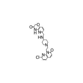 O=C1COc2ccc(CNC3CCN(CCn4c(=O)ccc5ccc(Cl)nc54)CC3)nc2N1